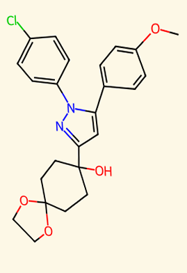 COc1ccc(-c2cc(C3(O)CCC4(CC3)OCCO4)nn2-c2ccc(Cl)cc2)cc1